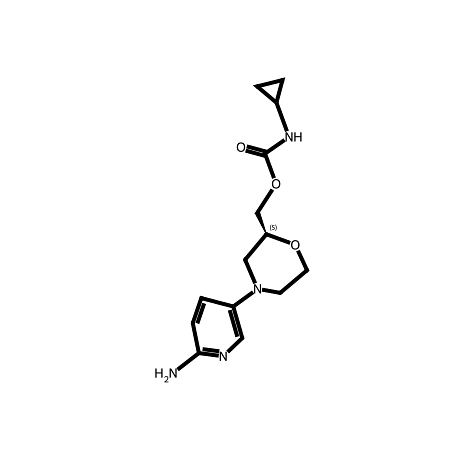 Nc1ccc(N2CCO[C@H](COC(=O)NC3CC3)C2)cn1